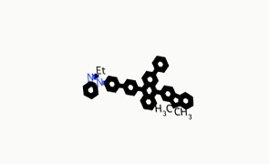 CCc1nc2ccccc2n1-c1ccc(-c2ccc(-c3c4ccccc4c(-c4ccc5c(c4)C(C)(C)c4ccccc4-5)c4cc(-c5ccccc5)ccc34)cc2)cc1